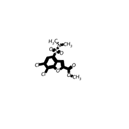 COC(=O)c1cc2c(S(=O)(=O)N(C)C)cc(Cl)c(Cl)c2o1